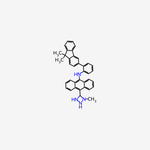 CN1NNC1c1c2ccccc2c(Nc2ccccc2-c2ccc3c(c2)-c2ccccc2C3(C)C)c2ccccc12